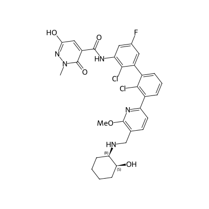 COc1nc(-c2cccc(-c3cc(F)cc(NC(=O)c4cc(O)nn(C)c4=O)c3Cl)c2Cl)ccc1CN[C@@H]1CCCC[C@@H]1O